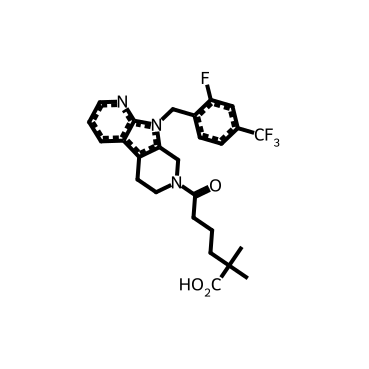 CC(C)(CCCC(=O)N1CCc2c(n(Cc3ccc(C(F)(F)F)cc3F)c3ncccc23)C1)C(=O)O